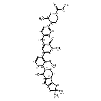 C[C@H]1CN(C(=O)OC(C)(C)C)CCN1c1ccc(Nc2cc(-c3ccnc(N4CCn5c(cc6c5CC(C)(C)C6)C4=O)c3CO)cn(C)c2=O)nc1